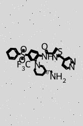 NC[C@@H]1CCCN(c2c(NC(=O)c3csc(-c4ccnnc4)n3)ccc(S(=O)(=O)c3ccccc3)c2C(F)(F)F)C1